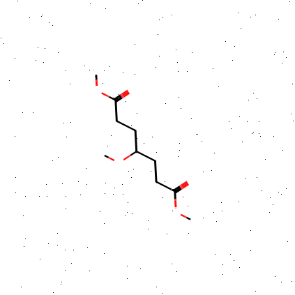 COC(=O)CCC(CCC(=O)OC)OC